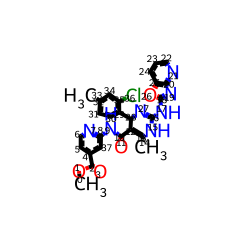 COC(=O)c1ccnc(NC(=O)C2=C(C)NC(Nc3nc4ncccc4o3)=NC2c2ccc(C)cc2Cl)c1